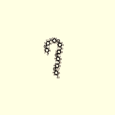 Cc1ccc(Oc2ccc(Cc3ccc(Oc4ccc(Cc5ccc(Oc6ccc(Cc7ccc(Oc8ccc(C)cc8)cc7)cc6)cc5)cc4)cc3)cc2)cc1